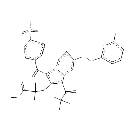 COC(=O)C(C)(C)Cc1c(C(=O)C(C)(C)C)c2cc(OCc3cccc(C)n3)ccn2c1C(=O)c1ccc(S(C)(=O)=O)cc1